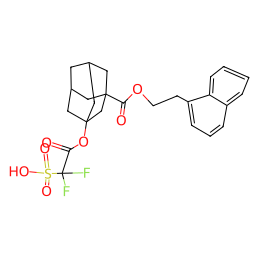 O=C(OCCc1cccc2ccccc12)C12CC3CC(CC(OC(=O)C(F)(F)S(=O)(=O)O)(C3)C1)C2